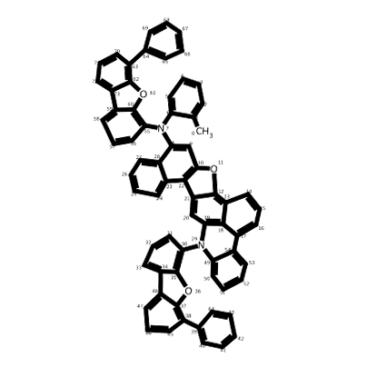 Cc1ccccc1N(c1cc2oc3c4cccc5c4c(cc3c2c2ccccc12)N(c1cccc2c1oc1c(-c3ccccc3)cccc12)c1ccccc1-5)c1cccc2c1oc1c(-c3ccccc3)cccc12